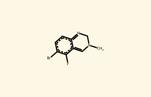 CN1C=c2c(F)c(Br)ccc2=NC1